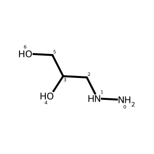 NNCC(O)CO